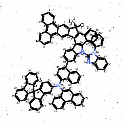 CC1(C)c2cc3c4ccccc4c4ccccc4c3cc2-c2c1c1ccccc1c1c2c2ccc(-c3ccc(N(c4ccc5c(c4)-c4ccccc4C54c5ccccc5-c5ccccc54)c4cc5ccccc5c5ccccc45)c4ccccc34)cc2n1-c1nc2ccccc2n1-c1ccccc1